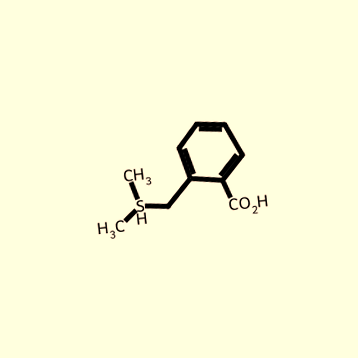 C[SH](C)Cc1ccccc1C(=O)O